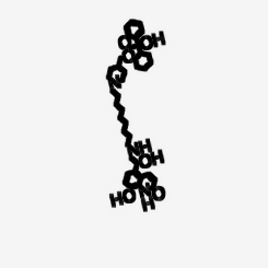 O=C(OCC1CCN(CCCCCCCCCNC[C@@H](O)c2ccc(O)c3[nH]c(=O)ccc23)CC1)C(O)(c1ccccc1)C1CCCCC1